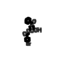 O=C(CN(CCO)C(=O)c1ccccc1)OCC(=O)c1ccc(Br)cc1